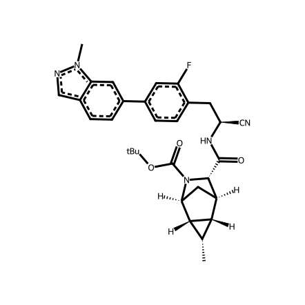 C[C@H]1[C@H]2[C@H]3C[C@@H]([C@@H]12)N(C(=O)OC(C)(C)C)[C@@H]3C(=O)N[C@H](C#N)Cc1ccc(-c2ccc3cnn(C)c3c2)cc1F